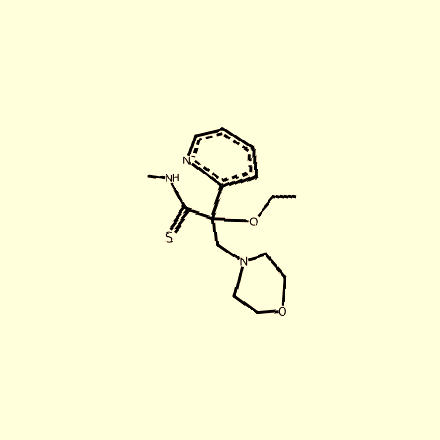 CCOC(CN1CCOCC1)(C(=S)NC)c1ccccn1